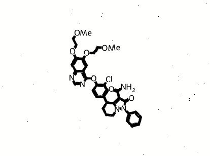 COCCOc1cc2ncnc(Oc3ccc(C4CCCn5c4c(C(N)=O)c(=O)n5-c4ccccc4)cc3Cl)c2cc1OCCOC